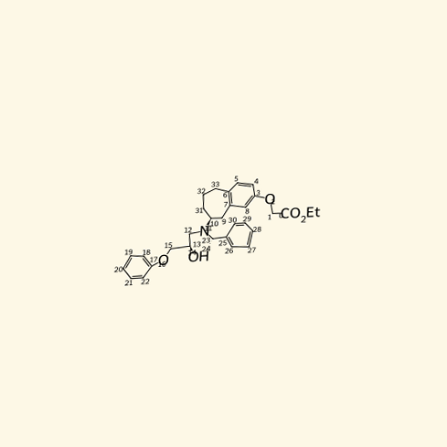 CCOC(=O)COc1ccc2c(c1)C[C@@H](N(C[C@@H](O)COc1ccccc1)[C@@H](C)c1ccccc1)CCC2